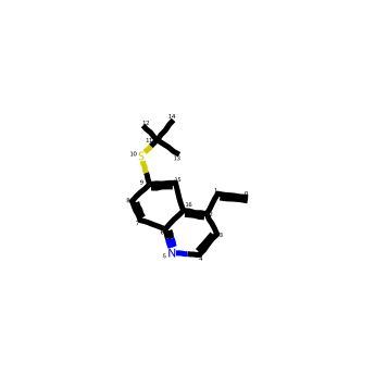 C=Cc1ccnc2ccc(SC(C)(C)C)cc12